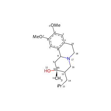 COc1cc2c(cc1OC)C1C[C@@](C)(O)C(CC(C)C)CN1CC2